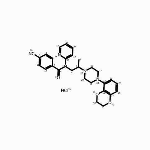 CC(CN(C(=O)c1ccc(C#N)cc1)c1ccccn1)N1CCN(c2cccc3c2OCCO3)CC1.Cl